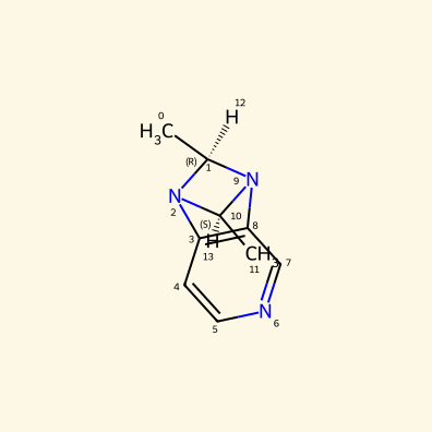 C[C@@H]1N2c3ccncc3N1[C@H]2C